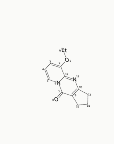 CCOc1cccn2c(=O)c3c(nc12)CCC3